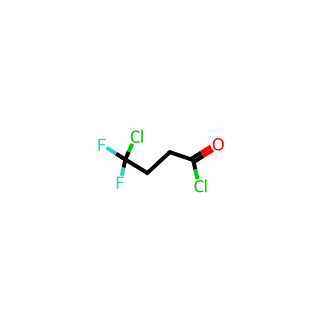 O=C(Cl)CCC(F)(F)Cl